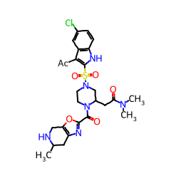 CC(=O)c1c(S(=O)(=O)N2CCN(C(=O)c3nc4c(o3)CNC(C)C4)C(CC(=O)N(C)C)C2)[nH]c2ccc(Cl)cc12